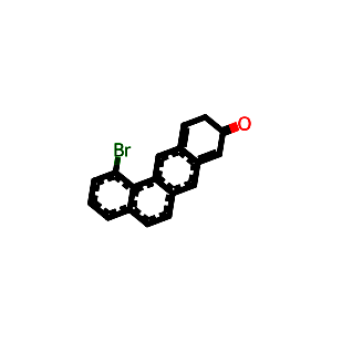 O=C1C=c2cc3ccc4cccc(Br)c4c3cc2=CC1